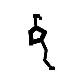 CC(=O)CCn1cc([N+](=O)[O-])cn1